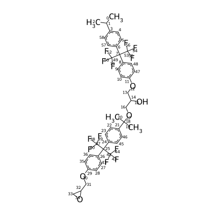 CC(C)c1ccc(C(c2ccc(OCC(O)COC(C)(C)c3ccc(C(c4ccc(OCC5CO5)cc4)(C(F)(F)F)C(F)(F)F)cc3)cc2)(C(F)(F)F)C(F)(F)F)cc1